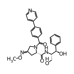 CO/N=C1\C[C@@H](C(=O)N[C@@H](CO)[C@H](O)c2ccccc2)N(C(=O)c2ccc(-c3ccncc3)cc2)C1